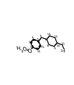 COc1ccc(CC2CCC(CI)CC2)cc1